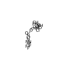 COC[C@@H](COCCC(=O)N1CCN(c2ncc(C(F)(F)F)cn2)CC1)Nc1cn[nH]c(=O)c1Cl